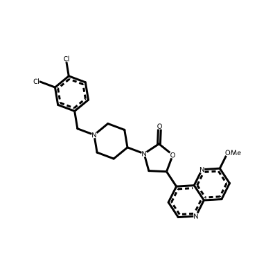 COc1ccc2nccc(C3CN(C4CCN(Cc5ccc(Cl)c(Cl)c5)CC4)C(=O)O3)c2n1